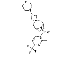 Cc1nc(C(F)(F)F)ccc1[S+]([O-])N1C2CCC1CC1(CC(N3CCOCC3)C1)C2